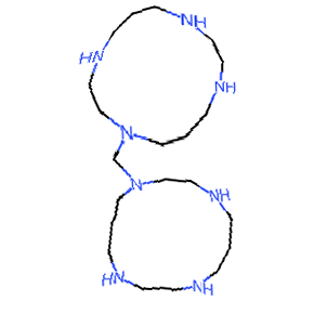 C1CNCCNCCCN(CN2CCCNCCNCCCNCC2)CCNC1